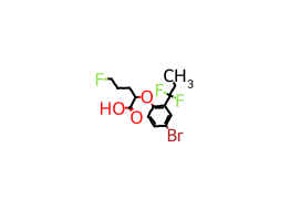 CCC(F)(F)c1cc(Br)ccc1OC(CCCF)C(=O)O